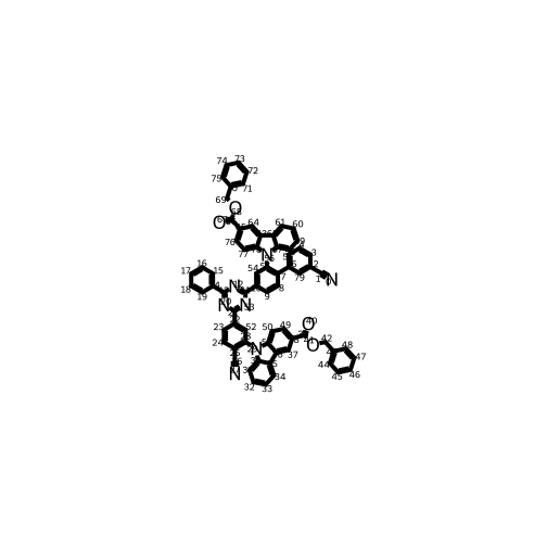 N#Cc1cccc(-c2ccc(-c3nc(-c4ccccc4)nc(-c4ccc(C#N)c(-n5c6ccccc6c6cc(C(=O)OCc7ccccc7)ccc65)c4)n3)cc2-n2c3ccccc3c3cc(C(=O)OCc4ccccc4)ccc32)c1